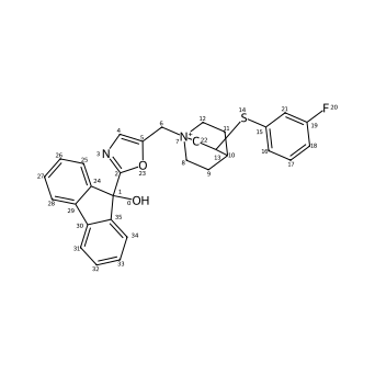 OC1(c2ncc(C[N+]34CCC(CC3)C(Sc3cccc(F)c3)C4)o2)c2ccccc2-c2ccccc21